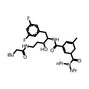 CCCN(CCC)C(=O)C1C=C(C(=O)NC(Cc2cc(F)cc(F)c2)C(O)CCNC(=O)CC(C)CC)C=C(C)C1